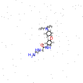 CCCN(CCC)c1ccc(Oc2ccc(NC(=O)CNCCN)cc2)cc1